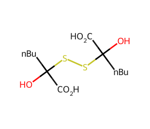 CCCCC(O)(SSC(O)(CCCC)C(=O)O)C(=O)O